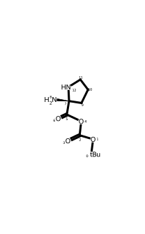 CC(C)(C)OC(=O)OC(=O)[C@@]1(N)CCCN1